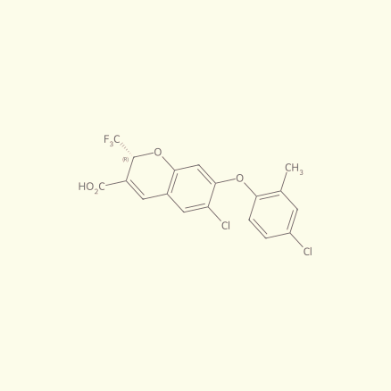 Cc1cc(Cl)ccc1Oc1cc2c(cc1Cl)C=C(C(=O)O)[C@H](C(F)(F)F)O2